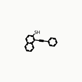 Sc1ccc2ccccc2c1C#Cc1ccccc1